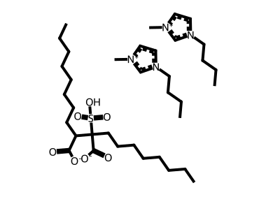 CCCCCCCCC(C(=O)[O-])C(CCCCCCCC)(C(=O)[O-])S(=O)(=O)O.CCCCn1cc[n+](C)c1.CCCCn1cc[n+](C)c1